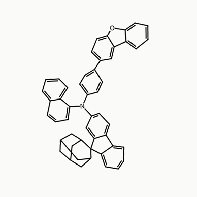 c1ccc2c(c1)-c1ccc(N(c3ccc(-c4ccc5oc6ccccc6c5c4)cc3)c3cccc4ccccc34)cc1C21C2CC3CC(C2)CC1C3